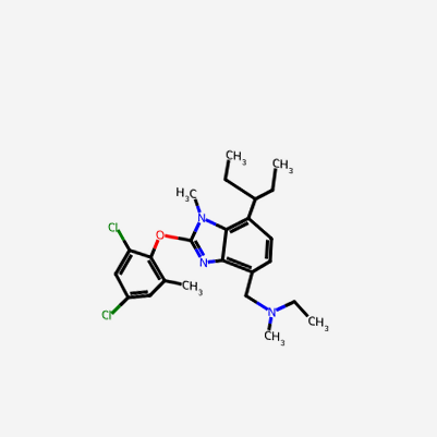 CCC(CC)c1ccc(CN(C)CC)c2nc(Oc3c(C)cc(Cl)cc3Cl)n(C)c12